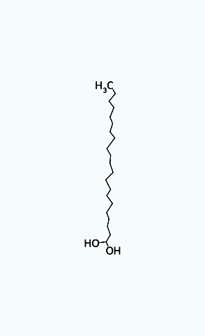 CCCCCCCCCCCCCCCCCCCCC(O)O